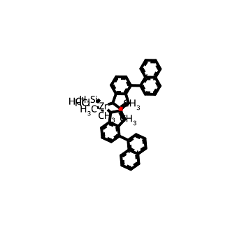 CC1=Cc2c(-c3cccc4ccccc34)cccc2[CH]1[Zr]([CH3])([CH3])(=[SiH2])[CH]1C(C)=Cc2c(-c3cccc4ccccc34)cccc21.Cl.Cl